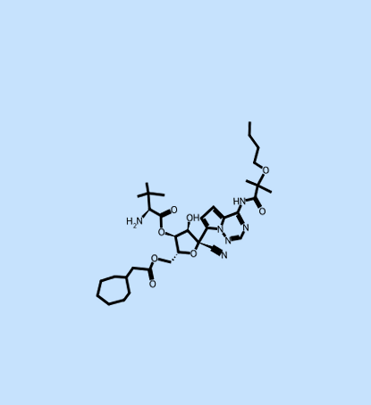 CCCCOC(C)(C)C(=O)Nc1ncnn2c([C@]3(C#N)O[C@H](COC(=O)CC4CCCCCC4)[C@@H](OC(=O)[C@@H](N)C(C)(C)C)[C@H]3O)ccc12